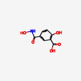 O=C(NO)c1ccc(O)c(C(=O)O)c1